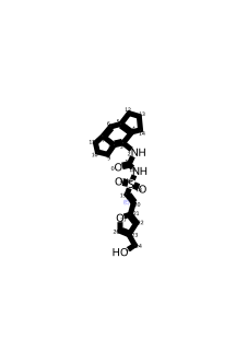 O=C(Nc1c2c(cc3c1CCC3)CCC2)NS(=O)(=O)/C=C/c1cc(CO)co1